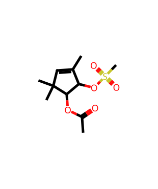 CC(=O)OC1C(OS(C)(=O)=O)C(C)=CC1(C)C